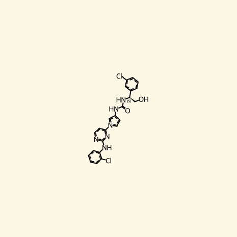 O=C(Nc1ccn(-c2ccnc(Nc3ccccc3Cl)n2)c1)N[C@H](CO)c1cccc(Cl)c1